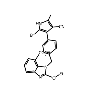 CCOC(=O)c1cccc2nc(OCC)n(Cc3ccc(-c4c(Br)[nH]c(C)c4C#N)cc3)c12